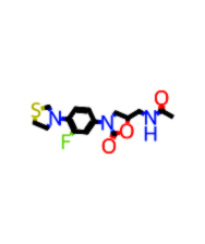 CC(=O)NCC1CN(c2ccc(N3CCSC3)c(F)c2)C(=O)O1